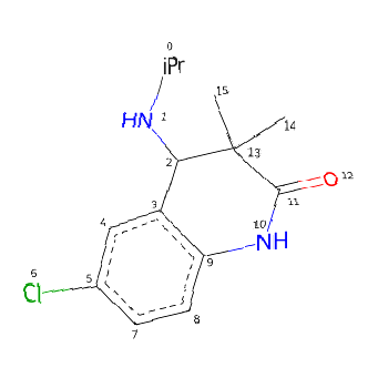 CC(C)NC1c2cc(Cl)ccc2NC(=O)C1(C)C